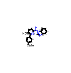 COc1ccc(-c2nc(Nn3cnc4ccccc43)ccc2C#N)cc1